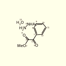 CC(=O)NN.COC(=O)C(=O)c1ccccc1.O